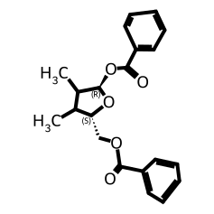 CC1C(C)[C@@H](COC(=O)c2ccccc2)O[C@@H]1OC(=O)c1ccccc1